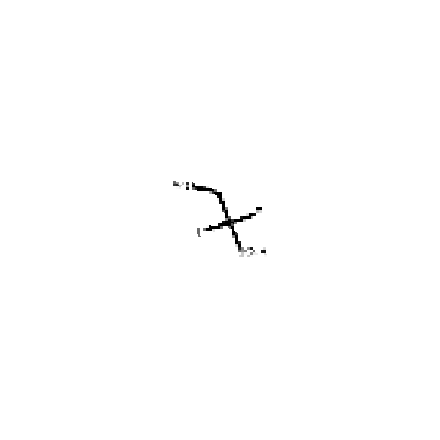 CC(=O)OCC(F)(F)S(=O)(=O)O